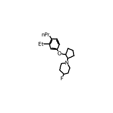 CCCc1ccc(OC2CCCC2N2CCC(F)CC2)cc1CC